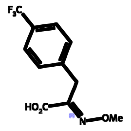 CO/N=C(\Cc1ccc(C(F)(F)F)cc1)C(=O)O